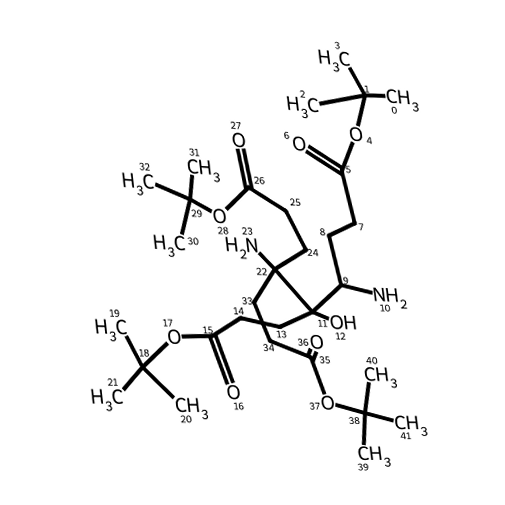 CC(C)(C)OC(=O)CCC(N)C(O)(CCC(=O)OC(C)(C)C)C(N)(CCC(=O)OC(C)(C)C)CCC(=O)OC(C)(C)C